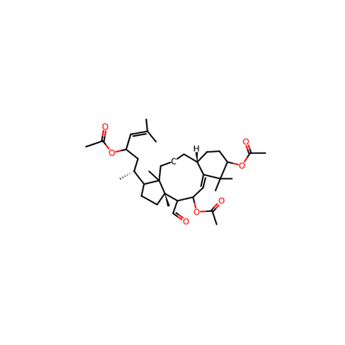 CC(=O)OC(C=C(C)C)C[C@@H](C)C1CC[C@@]2(C)C(C=O)C(OC(C)=O)/C=C3\[C@H](CCCC12C)CCC(OC(C)=O)C3(C)C